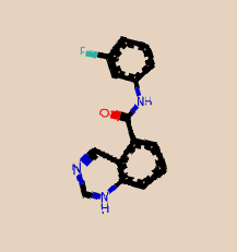 O=C(Nc1cccc(F)c1)c1cccc2c1C=NCN2